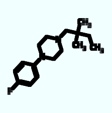 CCC(C)(C)CN1CCN(c2ccc(F)cc2)CC1